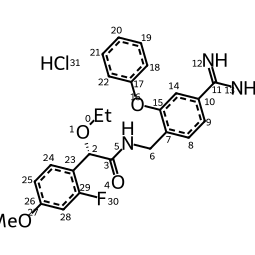 CCO[C@H](C(=O)NCc1ccc(C(=N)N)cc1Oc1ccccc1)c1ccc(OC)cc1F.Cl